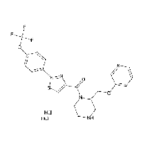 Cl.Cl.O=C(c1csc(-c2ccc(OC(F)(F)F)cc2)n1)N1CCNCC1COc1cccnc1